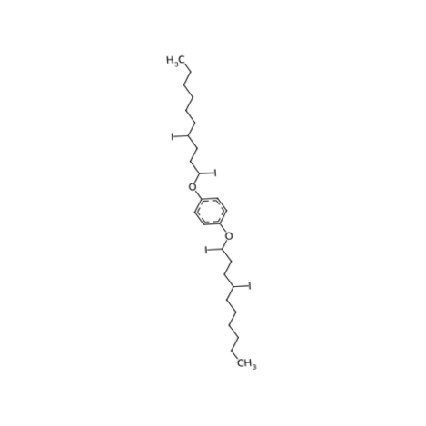 CCCCCCC(I)CCC(I)Oc1ccc(OC(I)CCC(I)CCCCCC)cc1